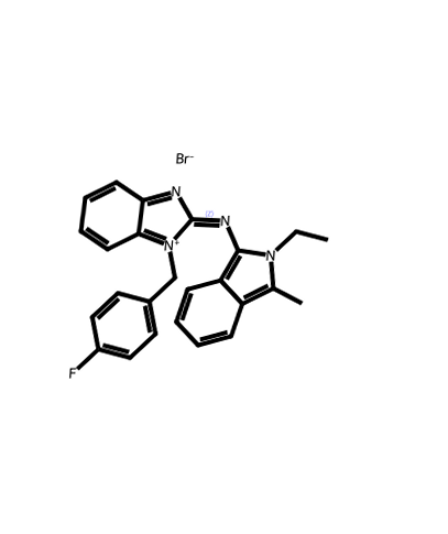 CCn1c(C)c2ccccc2c1/N=C1/N=c2ccccc2=[N+]1Cc1ccc(F)cc1.[Br-]